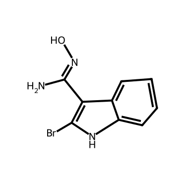 NC(=NO)c1c(Br)[nH]c2ccccc12